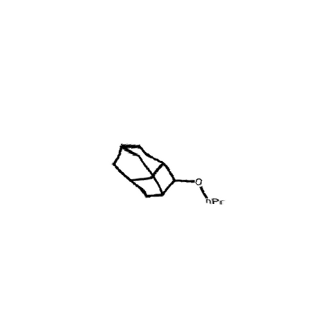 CCCOC1C2CC3CC(C2)CC1C3